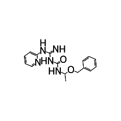 CC(NC(=O)NC(=N)Nc1ccccn1)OCc1ccccc1